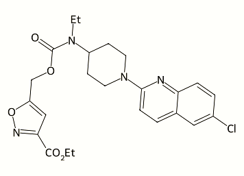 CCOC(=O)c1cc(COC(=O)N(CC)C2CCN(c3ccc4cc(Cl)ccc4n3)CC2)on1